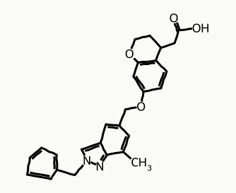 Cc1cc(COc2ccc3c(c2)OCCC3CC(=O)O)cc2cn(Cc3ccccc3)nc12